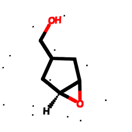 OCC1CC2O[C@H]2C1